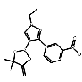 C=C1OB(c2cn(CC)nc2-c2cccc([N+](=O)[O-])c2)OC1(C)C